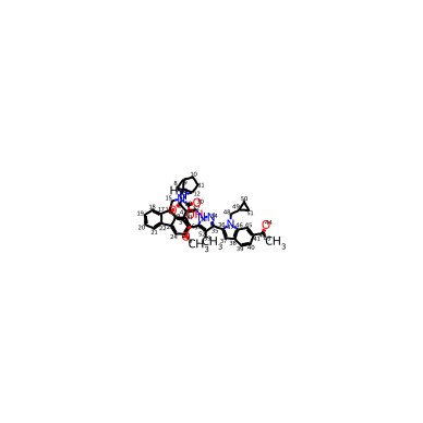 COc1cc(C(=O)N2CC3CCC2[C@@H]3N(CC2c3ccccc3-c3ccccc32)C(=O)O)cn2nc(-c3cc4ccc(C(C)=O)cc4n3CC3CC3)c(C)c12